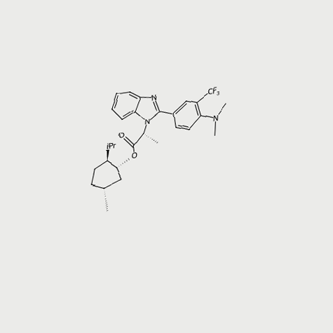 CC(C)[C@@H]1CC[C@@H](C)C[C@H]1OC(=O)[C@@H](C)n1c(-c2ccc(N(C)C)c(C(F)(F)F)c2)nc2ccccc21